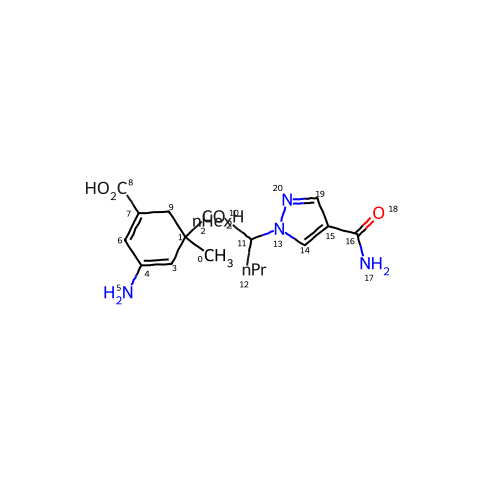 CC1(C(=O)O)C=C(N)C=C(C(=O)O)C1.CCCCCCC(CCC)n1cc(C(N)=O)cn1